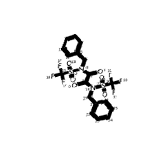 O=C(C(=O)N(Cc1ccccc1)S(=O)(=O)C(F)(F)F)N(Cc1ccccc1)S(=O)(=O)C(F)(F)F